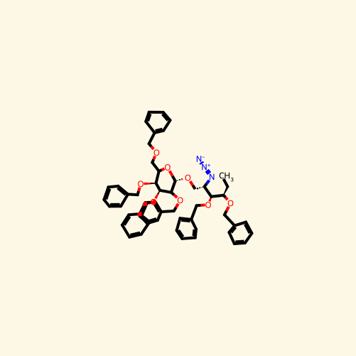 CC[C@@H](OCc1ccccc1)[C@@H](OCc1ccccc1)[C@H](CO[C@H]1OC(COCc2ccccc2)[C@H](OCc2ccccc2)[C@H](OCc2ccccc2)C1OCc1ccccc1)N=[N+]=[N-]